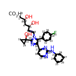 O=C(O)C[C@H](O)C[C@H](O)/C=C/n1c(C2(O)CC2)nc(-c2ccnc(Nc3ccccc3)n2)c1-c1ccc(F)cc1